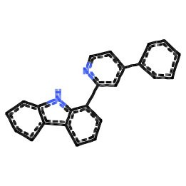 c1ccc(-c2ccnc(-c3cccc4c3[nH]c3ccccc34)c2)cc1